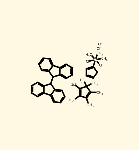 CC1=C(C)C(C)(C)[C]([Zr+2])=C1C.[CH3][Zr]([CH3])([CH3])([Cl])([Cl])[C]1=CC=CC1.[Cl-].[Cl-].c1ccc2c(c1)-c1ccccc1C2C1c2ccccc2-c2ccccc21